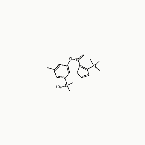 [CH2]=[Ti]([O]c1cc(C)cc([Si](C)(C)C(C)(C)C)c1)[C]1=C([Si](C)(C)C)C=CC1